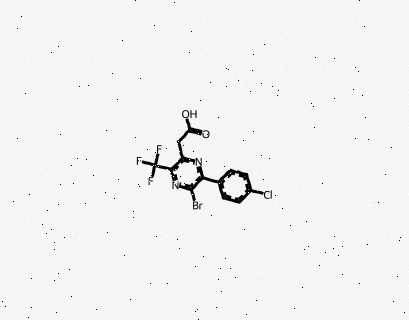 O=C(O)Cc1nc(-c2ccc(Cl)cc2)c(Br)nc1C(F)(F)F